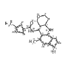 CCn1ncc2c(NC3CCOCC3)c(CNC(=O)c3cnc(C)s3)c(C)nc21